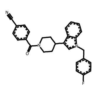 N#Cc1ccc(C(=O)N2CCC(c3cn(Cc4ccc(F)cc4)c4ccccc34)CC2)cc1